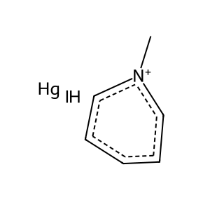 C[n+]1ccccc1.I.[Hg]